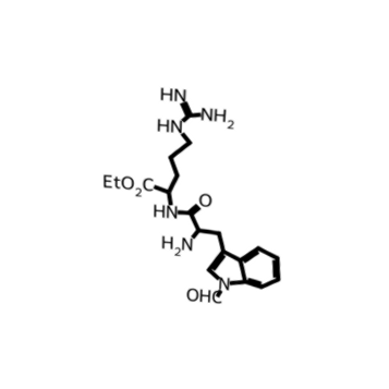 CCOC(=O)C(CCCNC(=N)N)NC(=O)C(N)Cc1cn(C=O)c2ccccc12